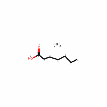 CCCCCCC(=O)O.[CaH2]